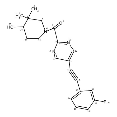 CC1(C)CN(C(=O)c2ncc(C#Cc3cccc(F)c3)cn2)CCC1O